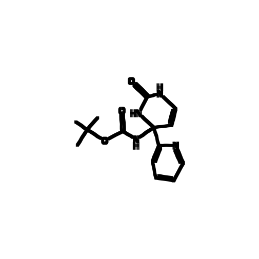 CC(C)(C)OC(=O)NC1(c2ccccn2)C=CNC(=O)N1